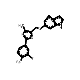 Cc1nc(-c2ccc(C(F)(F)F)c(F)c2)sc1COc1ccc2cc[nH]c2c1